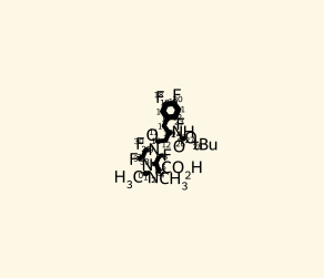 CC1=N[C@@](C)(C(=O)O)C2C(F)N(C(=O)CC(Cc3cc(F)c(F)cc3F)NC(=O)OC(C)(C)C)C(F)C(F)N12